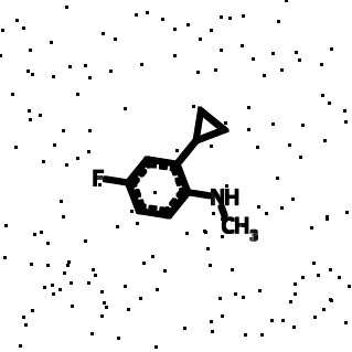 CNc1ccc(F)cc1C1CC1